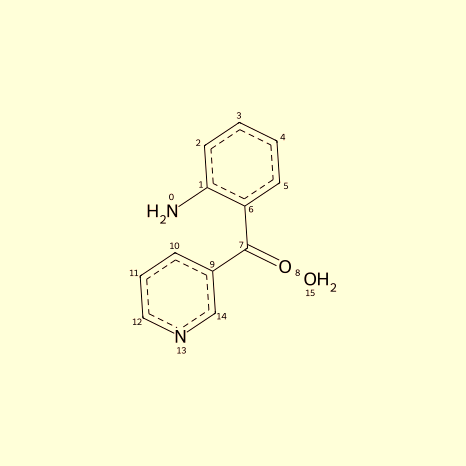 Nc1ccccc1C(=O)c1cccnc1.O